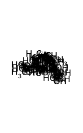 C[C@@H]1[C@@H](O)[C@@H](OC[C@H]2O[C@@H](O[C@H](CC[C@@H](C)[C@H]3CC[C@@]4(C)C5CC=C6[C@@H](CC[C@H](O[C@@H]7O[C@H](CO)[C@@H](O[C@@H]8O[C@H](CO)[C@@H](O)[C@H](O)[C@H]8O)[C@H](O)[C@H]7O)C6(C)C)[C@]5(C)[C@H](O)C[C@]34C)C(C)(C)O)[C@H](O[C@@H]3O[C@H](CO)[C@@H](O)[C@H](O)[C@H]3O)[C@@H](O)[C@@H]2O)O[C@H](CO)[C@H]1O